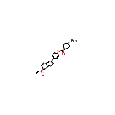 C=CC(=O)c1ccc2cc(-c3ccc(OC(=O)C4CCC(CCCCC)CC4)cc3)ccc2c1